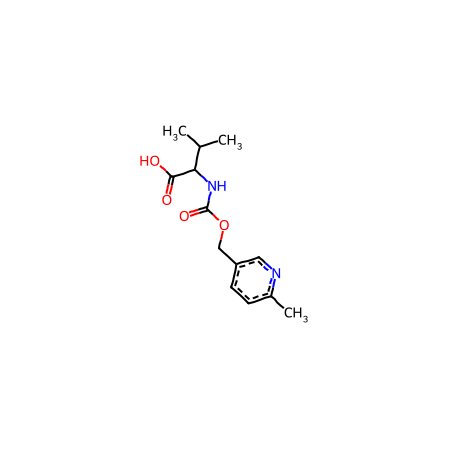 Cc1ccc(COC(=O)NC(C(=O)O)C(C)C)cn1